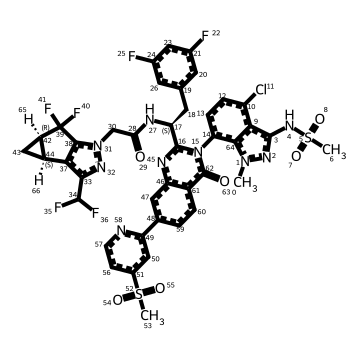 Cn1nc(NS(C)(=O)=O)c2c(Cl)ccc(-n3c([C@H](Cc4cc(F)cc(F)c4)NC(=O)Cn4nc(C(F)F)c5c4C(F)(F)[C@@H]4C[C@H]54)nc4cc(-c5cc(S(C)(=O)=O)ccn5)ccc4c3=O)c21